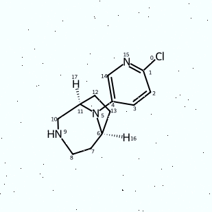 Clc1ccc(N2[C@@H]3CCNC[C@H]2CC3)cn1